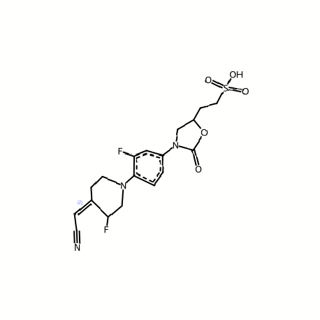 N#C/C=C1/CCN(c2ccc(N3CC(CCS(=O)(=O)O)OC3=O)cc2F)CC1F